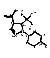 C=C(C)C1C=NN(C2CCC(C)CC2)C1C(F)(F)F